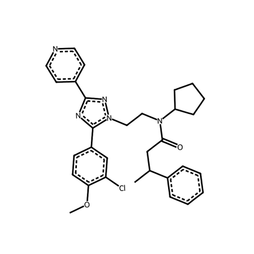 COc1ccc(-c2nc(-c3ccncc3)nn2CCN(C(=O)CC(C)c2ccccc2)C2CCCC2)cc1Cl